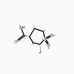 C[C@@H]1C[C@H](C(=O)O)CCS1(=O)=O